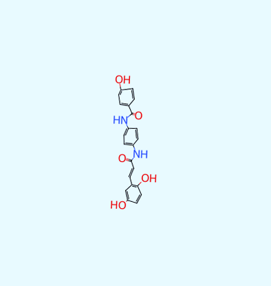 O=C(/C=C/c1cc(O)ccc1O)Nc1ccc(NC(=O)c2ccc(O)cc2)cc1